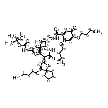 CCCCOC(=O)C1(O/N=C(\C(=O)N[C@@H]2C(=O)N[C@@H]2CNC(=O)c2cc(=O)c(OCCCC)cn2OCCCC)c2csc(NC(=O)OC(C)(C)C)n2)CCCC1